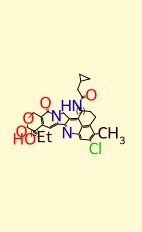 CC[C@@]1(O)C(=O)OCc2c1cc1n(c2=O)Cc2c-1nc1cc(Cl)c(C)c3c1c2[C@@H](NC(=O)CC1CC1)CC3